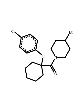 CCC1CCN(C(=O)C2(Oc3ccc(Cl)cc3)CCCCC2)CC1